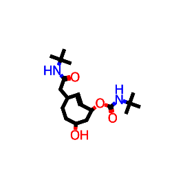 CC(C)(C)NC(=O)CC1/C=C/C(OC(=O)NC(C)(C)C)CC(O)CC1